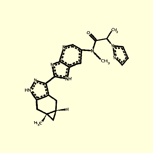 CC(C(=O)N(C)c1cnc2nc(-c3n[nH]c4c3C[C@@H]3C[C@]3(C)C4)[nH]c2c1)n1cccn1